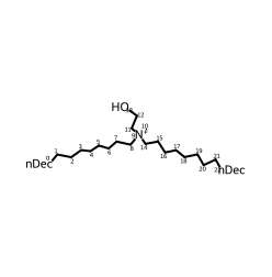 CCCCCCCCCCCCCCCCCC[N+](C)(CCO)CCCCCCCCCCCCCCCCCC